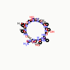 CCCC[C@H]1C(=O)N2CCC[C@@H]2C(=O)N[C@@H](CC(=O)O)C(=O)N[C@@H](C(C)C)C(=O)N(C)[C@@H](Cc2ccccc2)C(=O)N[C@@H](Cc2ccc(O)cc2)C(=O)N2CSC[C@@H]2C(=O)N[C@@H](Cc2c[nH]c3ccccc23)C(=O)N[C@@H](Cc2ccc(O)cc2)C(=O)N[C@@H](CC(C)C)C(=O)N[C@H](C(=O)NCC(N)=O)CSCC(=O)N[C@@H](Cc2ccccc2)C(=O)N(C)[C@@H](Cc2ccccc2)C(=O)N1C